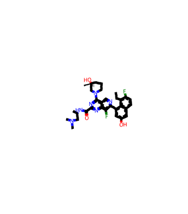 CCc1c(F)ccc2cc(O)cc(-c3ncc4c(N5CCC[C@@](C)(O)C5)nc(C(=O)NC(C)CN(C)C)nc4c3F)c12